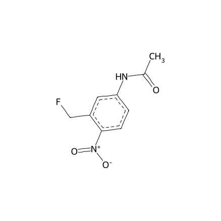 CC(=O)Nc1ccc([N+](=O)[O-])c(CF)c1